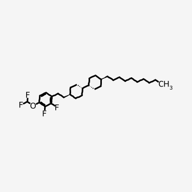 CCCCCCCCCC[C@H]1CC[C@H]([C@H]2CC[C@H](CCc3ccc(OC(F)F)c(F)c3F)CC2)CC1